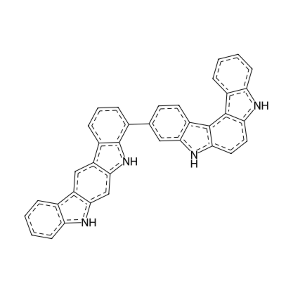 c1ccc2c(c1)[nH]c1cc3[nH]c4c(-c5ccc6c(c5)[nH]c5ccc7[nH]c8ccccc8c7c56)cccc4c3cc12